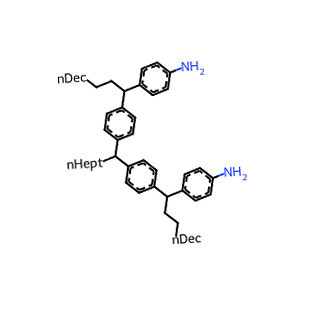 CCCCCCCCCCCCC(c1ccc(N)cc1)c1ccc(C(CCCCCCC)c2ccc(C(CCCCCCCCCCCC)c3ccc(N)cc3)cc2)cc1